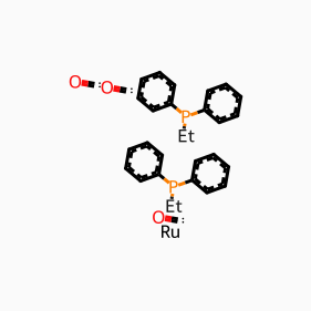 CCP(c1ccccc1)c1ccccc1.CCP(c1ccccc1)c1ccccc1.[C]=O.[C]=O.[C]=O.[Ru]